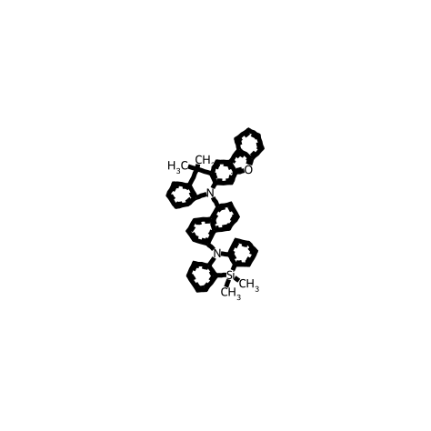 CC1(C)c2ccccc2N(c2cccc3c(N4c5ccccc5[Si](C)(C)c5ccccc54)cccc23)c2cc3oc4ccccc4c3cc21